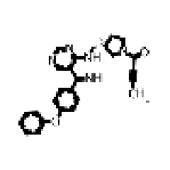 CC#CC(=O)N1CC[C@@H](CNc2ncncc2C(=N)c2ccc(Oc3ccccc3)cc2)C1